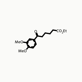 CCOC(=O)CCCCC(=O)c1ccc(OC)c(OC)c1